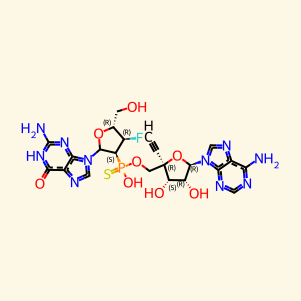 C#C[C@]1(COP(O)(=S)[C@H]2C(n3cnc4c(=O)[nH]c(N)nc43)O[C@H](CO)[C@H]2F)O[C@@H](n2cnc3c(N)ncnc32)[C@H](O)[C@@H]1O